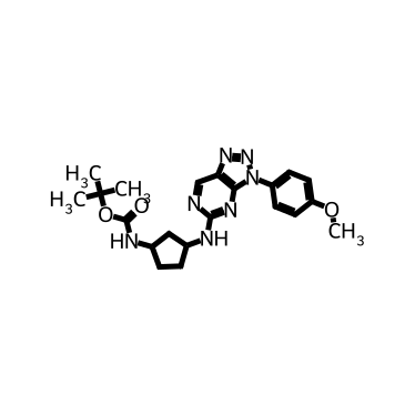 COc1ccc(-n2nnc3cnc(NC4CCC(NC(=O)OC(C)(C)C)C4)nc32)cc1